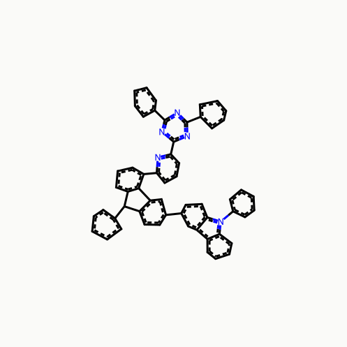 c1ccc(-c2nc(-c3ccccc3)nc(-c3cccc(-c4cccc5c4-c4cc(-c6ccc7c(c6)c6ccccc6n7-c6ccccc6)ccc4C5c4ccccc4)n3)n2)cc1